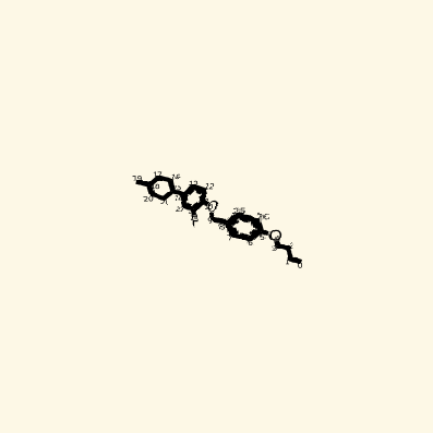 CCCCOc1ccc(COc2ccc(C3CCC(C)CC3)cc2F)cc1